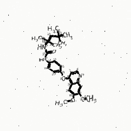 COc1cc2nccc(Oc3ccc(NC(=O)NC(C)(C)CC(C)(C)C)cc3)c2cc1OC